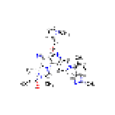 C=CC(=O)N1[C@H](C)CN(c2c(C#N)c(OCC3CCCN3C)nc3c2CCN(c2c(C)ccc4c2cnn4C)C3)C[C@@H]1C